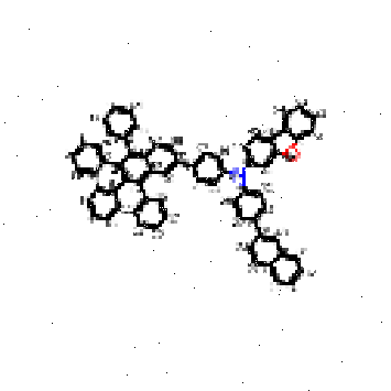 c1ccc(-c2c(-c3ccccc3)c(-c3ccccc3)c3cc(-c4ccc(N(c5ccc(-c6ccc7ccccc7c6)cc5)c5ccc6c(c5)oc5ccccc56)cc4)ccc3c2-c2ccccc2)cc1